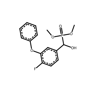 COP(=O)(OC)C(O)c1ccc(F)c(Oc2ccccc2)c1